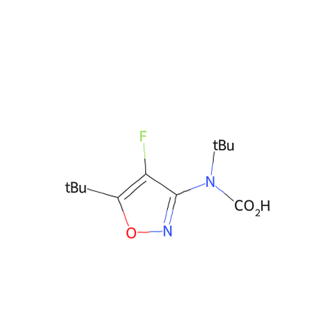 CC(C)(C)c1onc(N(C(=O)O)C(C)(C)C)c1F